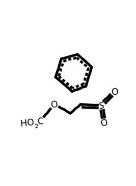 O=C(O)OCC=S(=O)=O.c1ccccc1